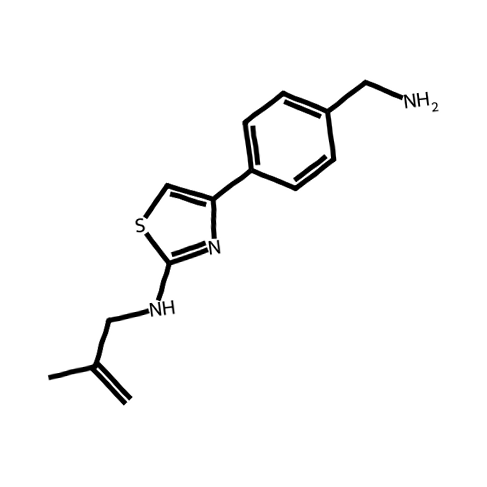 C=C(C)CNc1nc(-c2ccc(CN)cc2)cs1